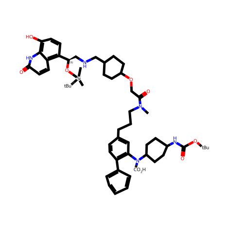 CN(CCCc1ccc(-c2ccccc2)c(N(C(=O)O)C2CCC(NC(=O)OC(C)(C)C)CC2)c1)C(=O)COC1CCC(CNC[C@@H](O[Si](C)(C)C(C)(C)C)c2ccc(O)c3[nH]c(=O)ccc23)CC1